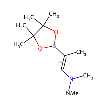 CNN(C)/C=C(\C)B1OC(C)(C)C(C)(C)O1